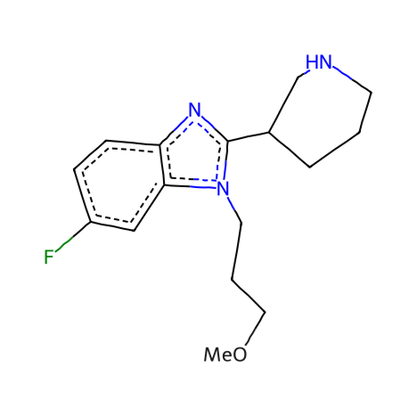 COCCCn1c(C2CCCNC2)nc2ccc(F)cc21